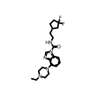 CCN1CCN(c2cccc3c2ncn3C(=O)NCCC2CCC(F)(F)C2)CC1